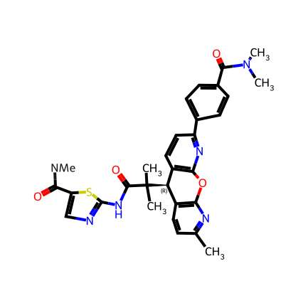 CNC(=O)c1cnc(NC(=O)C(C)(C)[C@@H]2c3ccc(C)nc3Oc3nc(-c4ccc(C(=O)N(C)C)cc4)ccc32)s1